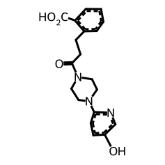 O=C(O)c1ccccc1CCC(=O)N1CCN(c2ccc(O)cn2)CC1